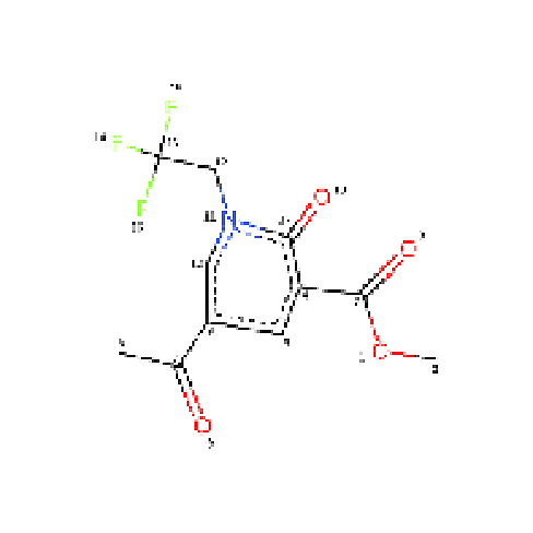 COC(=O)c1cc(C(C)=O)cn(CC(F)(F)F)c1=O